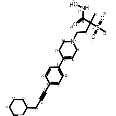 CC(CCN1CC=C(c2ccc(C#CCC3CCCCC3)cc2)CC1)(C(=O)NO)S(C)(=O)=O